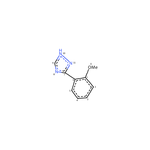 COc1ccccc1-c1n[c][nH]n1